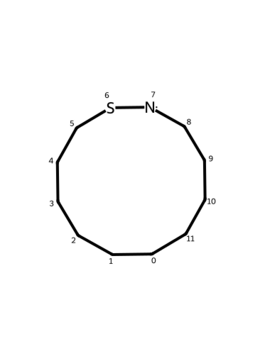 C1CCCCCS[N]CCCC1